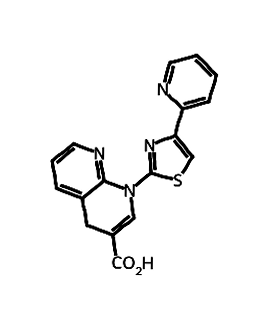 O=C(O)C1=CN(c2nc(-c3ccccn3)cs2)c2ncccc2C1